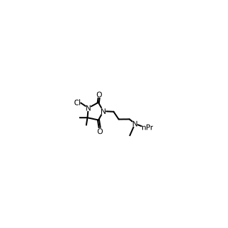 CCCN(C)CCCN1C(=O)N(Cl)C(C)(C)C1=O